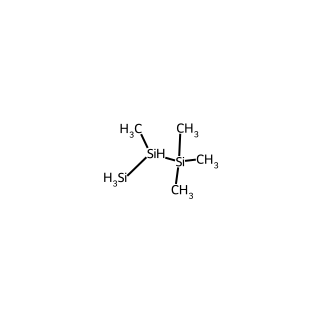 C[SiH]([SiH3])[Si](C)(C)C